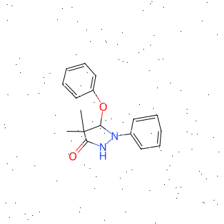 CC1(C)C(=O)NN(c2ccccc2)C1Oc1ccccc1